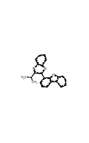 CC(C)c1nc2ccccc2nc1-c1cccc2c1oc1ccccc12